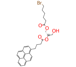 O=C(CCCCCBr)OC[C@H](CO)OC(=O)CCCc1ccc2ccc3cccc4ccc1c2c34